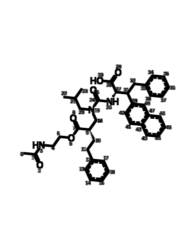 CC(=O)NCCOC(=O)[C@@H](CCc1ccccc1)CN(CC(C)C)C(=O)N[C@H](C(=O)O)C(Cc1ccccc1)c1ccc2ccccc2c1